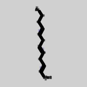 CCCCC/C=C/C/C=C/C/C=C/CCC(C)=O